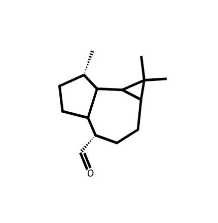 C[C@H]1CCC2C1C1C(CC[C@@H]2C=O)C1(C)C